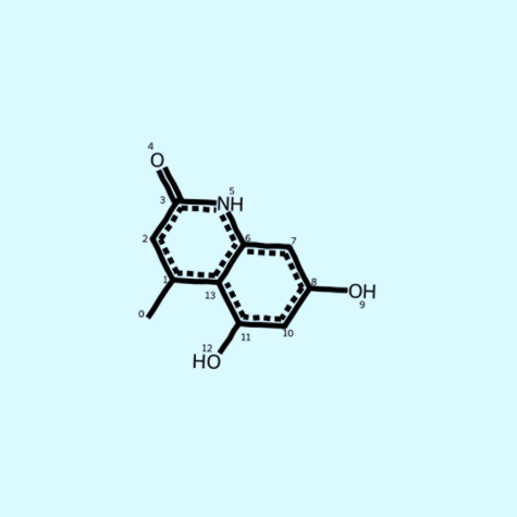 Cc1cc(=O)[nH]c2cc(O)cc(O)c12